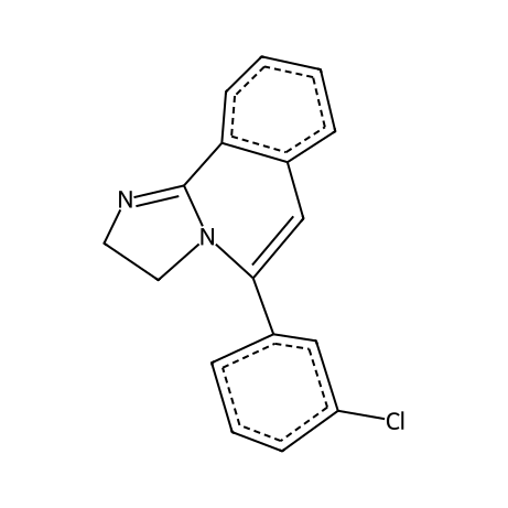 Clc1cccc(C2=Cc3ccccc3C3=NCCN23)c1